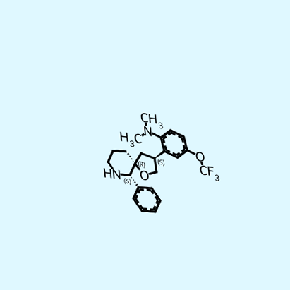 CN(C)c1ccc(OC(F)(F)F)cc1[C@H]1CO[C@]2(CCCN[C@H]2c2ccccc2)C1